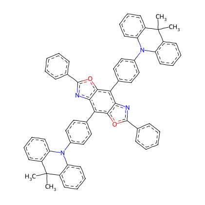 CC1(C)c2ccccc2N(c2ccc(-c3c4nc(-c5ccccc5)oc4c(-c4ccc(N5c6ccccc6C(C)(C)c6ccccc65)cc4)c4nc(-c5ccccc5)oc34)cc2)c2ccccc21